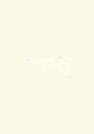 N#Cc1cc(-c2ccc(C(=O)O)c(O)c2)c2[nH]ccc2c1